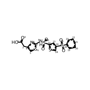 O=C(O)Cc1csc(NS(=O)(=O)c2cc(S(=O)(=O)c3ccccc3)cs2)n1